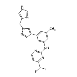 Cc1cc(Nc2nccc(C(F)F)n2)cc(-c2cnn(Cc3c[nH]cn3)c2)c1